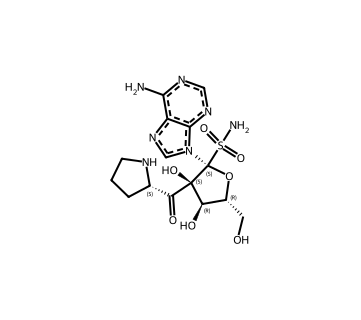 Nc1ncnc2c1ncn2[C@]1(S(N)(=O)=O)O[C@H](CO)[C@@H](O)[C@]1(O)C(=O)[C@@H]1CCCN1